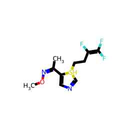 CO/N=C(/C)C1=CN=C[SH]1CCC(F)=C(F)F